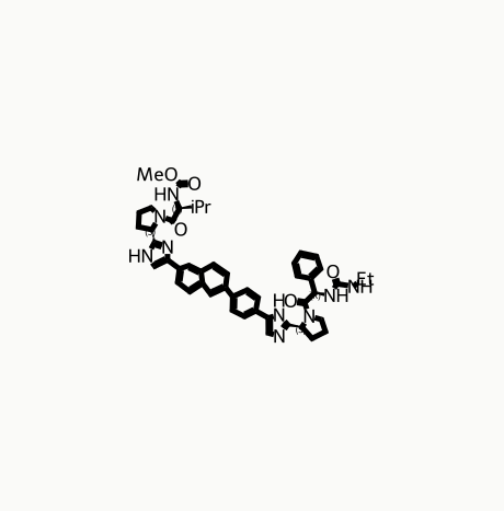 CCNC(=O)N[C@@H](C(=O)N1CCC[C@H]1c1ncc(-c2ccc(-c3ccc4cc(-c5c[nH]c([C@@H]6CCCN6C(=O)[C@@H](NC(=O)OC)C(C)C)n5)ccc4c3)cc2)[nH]1)c1ccccc1